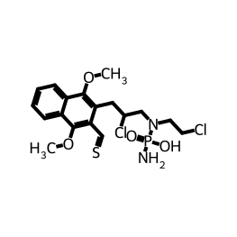 COc1c(C=S)c(CC(Cl)CN(CCCl)P(N)(=O)O)c(OC)c2ccccc12